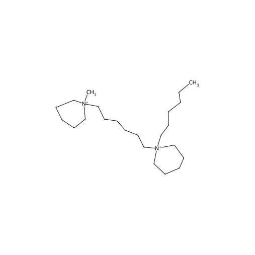 CCCCCC[N+]1(CCCCCC[N+]2(C)CCCCC2)CCCCC1